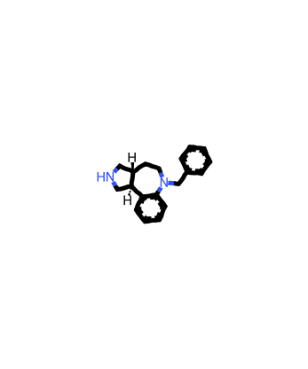 c1ccc(CN2CC[C@H]3CNC[C@@H]3c3ccccc32)cc1